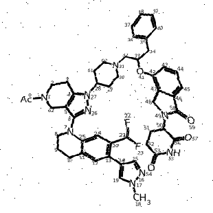 CC(=O)N1CCc2c(c(N3CCCc4cc(-c5cnn(C)c5)c(C(F)F)cc43)nn2C2CCN(CC(Cc3ccccc3)Oc3cccc4c3CN(C3CCC(=O)NC3=O)C4=O)CC2)C1